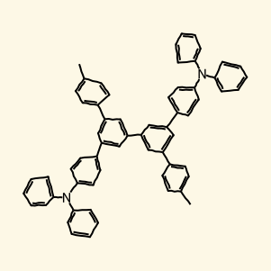 Cc1ccc(-c2cc(-c3ccc(N(c4ccccc4)c4ccccc4)cc3)cc(-c3cc(-c4ccc(C)cc4)cc(-c4ccc(N(c5ccccc5)c5ccccc5)cc4)c3)c2)cc1